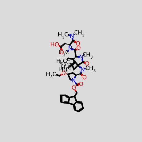 CCO[C@@H]1C[C@@H](C(=O)N(C)C2(C(=O)N(C)[C@H](C(=O)N(C)[C@@H](CC(=O)O)C(=O)N(C)C)C(CC)CC)CC(C)(C)C2)N(C(=O)OCC2c3ccccc3-c3ccccc32)C1